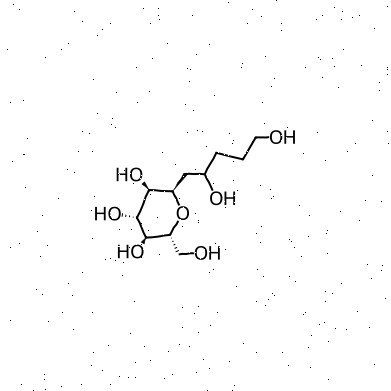 OCCCC(O)C[C@H]1O[C@H](CO)[C@@H](O)[C@H](O)[C@H]1O